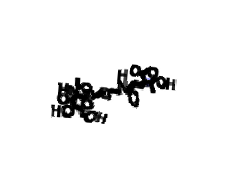 CC(=O)N[C@@H]1[C@@H](OCCOCCNC(=O)CC/C(C(C)=O)=C(\C)C(=O)O)O[C@@H](CO)[C@@H](O)[C@H]1O